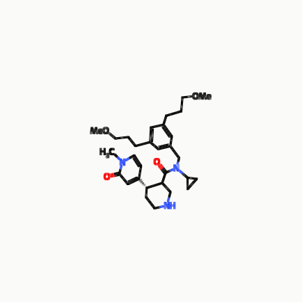 COCCCc1cc(CCCOC)cc(CN(C(=O)C2CNCC[C@@H]2c2ccn(C)c(=O)c2)C2CC2)c1